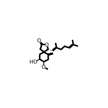 C=C1C[C@@H](OC)[C@@H](O)CC12CC(=O)O[C@@H]2/C=C(\C)CCC=C(C)C